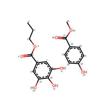 CCCOC(=O)c1cc(O)c(O)c(O)c1.COC(=O)c1ccc(O)cc1